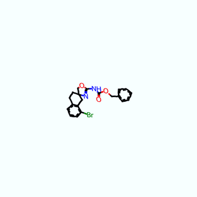 O=C(NC1=NC2(CCc3cccc(Br)c3C2)CO1)OCc1ccccc1